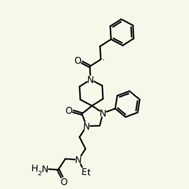 CCN(CCN1CN(c2ccccc2)C2(CCN(C(=O)[CH]Cc3ccccc3)CC2)C1=O)CC(N)=O